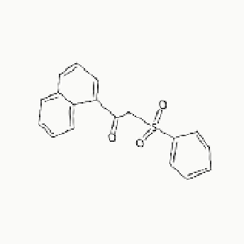 O=C(CS(=O)(=O)c1ccccc1)c1cccc2ccccc12